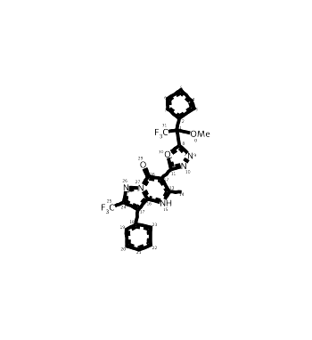 COC(c1ccccc1)(c1nnc(-c2c(C)[nH]c3c(-c4ccccc4)c(C(F)(F)F)nn3c2=O)o1)C(F)(F)F